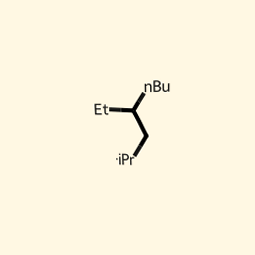 CCCCC(CC)C[C](C)C